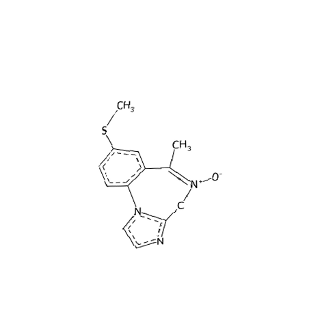 CSc1ccc2c(c1)C(C)=[N+]([O-])Cc1nccn1-2